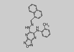 Cc1ccccc1Nc1nc2nonc2nc1NN=Cc1cccc2ccccc12